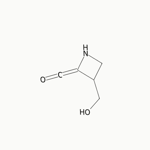 O=C=C1NCC1CO